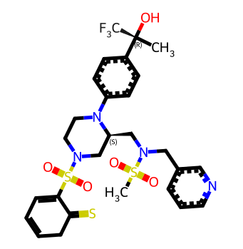 C[C@@](O)(c1ccc(N2CCN(S(=O)(=O)C3=CC=CCC3=S)C[C@@H]2CN(Cc2cccnc2)S(C)(=O)=O)cc1)C(F)(F)F